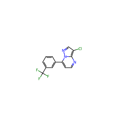 FC(F)(F)c1cccc(-c2ccnc3c(Cl)cnn23)c1